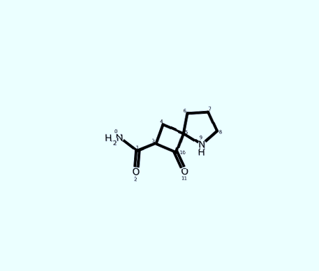 NC(=O)C1CC2(CCCN2)C1=O